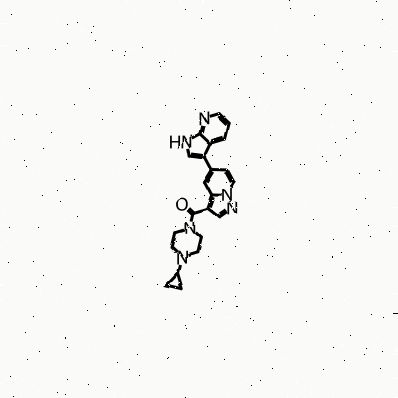 O=C(c1cnn2ccc(-c3c[nH]c4ncccc34)cc12)N1CCN(C2CC2)CC1